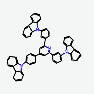 C1=CCC2C(=C1)N(c1ccc(-c3cc(-c4cccc(-n5c6ccccc6c6ccccc65)c4)nc(-c4cccc(-n5c6ccccc6c6ccccc65)c4)c3)cc1)c1ccccc12